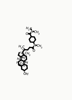 C[C@@H](CCC(=O)N(C)C1CCC(C(=O)N(C)C)CC1)[C@H]1CC[C@H]2[C@@H]3CC=C4C[C@@H](O)CC[C@]4(C)[C@H]3CC[C@]12C